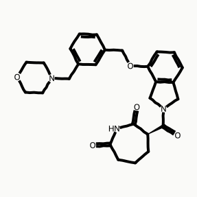 O=C1CCC[C@H](C(=O)N2Cc3cccc(OCc4cccc(CN5CCOCC5)c4)c3C2)C(=O)N1